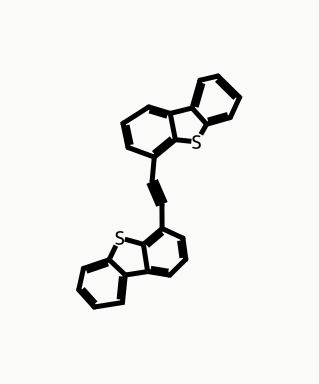 C(#Cc1cccc2c1sc1ccccc12)c1cccc2c1sc1ccccc12